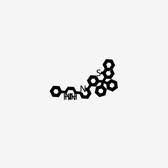 N=C(/C=C\C(=N)c1cccc(-c2ccc3c(c2)C(c2ccccc2)(c2ccccc2)c2ccc4ccccc4c2S3)n1)c1ccccc1